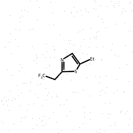 CCc1cnc(CC(F)(F)F)s1